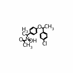 CC(=O)N(O)C(C)c1ccc(OC(C)c2ccc(Cl)cc2)cc1